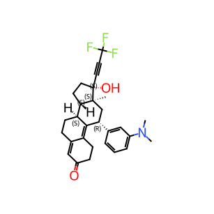 CN(C)c1cccc([C@H]2C[C@@]3(C)[C@@H](CC[C@@]3(O)C#CC(F)(F)F)[C@@H]3CCC4=CC(=O)CCC4=C32)c1